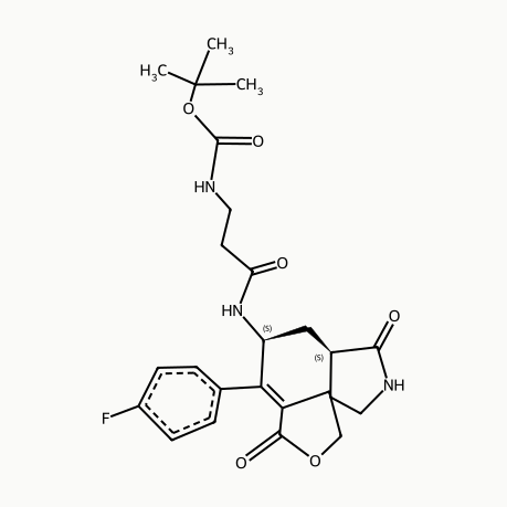 CC(C)(C)OC(=O)NCCC(=O)N[C@@H](C[C@@H]1CCNC1=O)C(=C1CCOC1=O)c1ccc(F)cc1